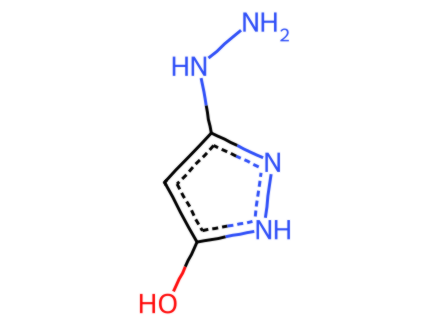 NNc1cc(O)[nH]n1